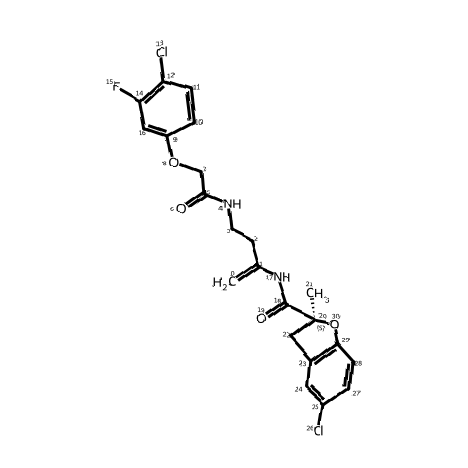 C=C(CCNC(=O)COc1ccc(Cl)c(F)c1)NC(=O)[C@]1(C)Cc2cc(Cl)ccc2O1